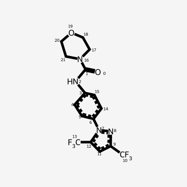 O=C(Nc1ccc(-n2nc(C(F)(F)F)cc2C(F)(F)F)cc1)N1CCOCC1